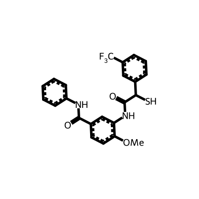 COc1ccc(C(=O)Nc2ccccc2)cc1NC(=O)C(S)c1cccc(C(F)(F)F)c1